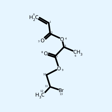 C=CC(=O)OC(C)C(=O)OCC(C)Br